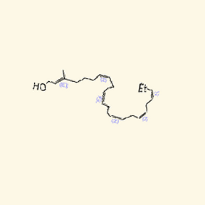 CC/C=C\C/C=C\C/C=C\C/C=C\C/C=C\CCC/C(C)=C/CO